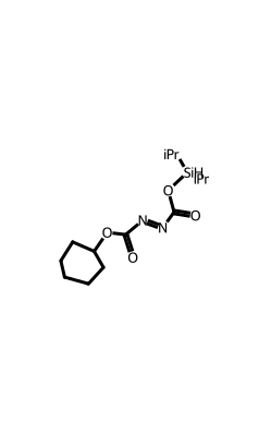 CC(C)[SiH](OC(=O)N=NC(=O)OC1CCCCC1)C(C)C